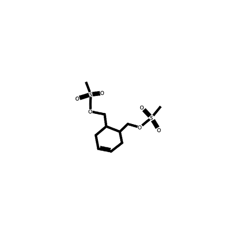 CS(=O)(=O)OCC1CC=CCC1COS(C)(=O)=O